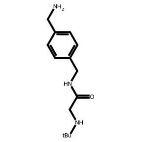 CC(C)(C)NCC(=O)NCc1ccc(CN)cc1